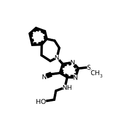 CSc1nc(NCCO)c(C#N)c(N2CCc3ccccc3CC2)n1